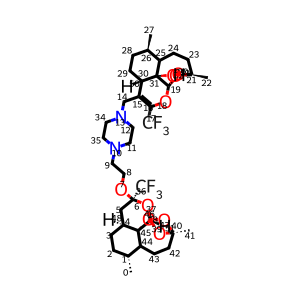 C[C@@H]1CC[C@H]2C[C@](OCCN3CCN(CC4=C(C(F)(F)F)O[C@@H]5O[C@]6(C)CCC7[C@H](C)CC[C@@H]4[C@]75OO6)CC3)(C(F)(F)F)O[C@@H]3O[C@]4(C)CCC1[C@@]23OO4